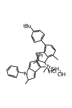 CC1=Cc2c(-c3ccc(C(C)(C)C)cc3)ccc(C)c2[CH]1[Zr]([CH3])([CH3])(=[SiH2])[C]1=C(C(C)C)C=C2C1=CC(C)N2c1ccccc1.Cl.Cl